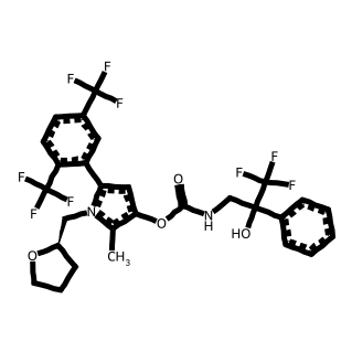 Cc1c(OC(=O)NCC(O)(c2ccccc2)C(F)(F)F)cc(-c2cc(C(F)(F)F)ccc2C(F)(F)F)n1C[C@H]1CCCO1